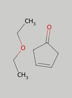 CCOCC.O=C1CC=CC1